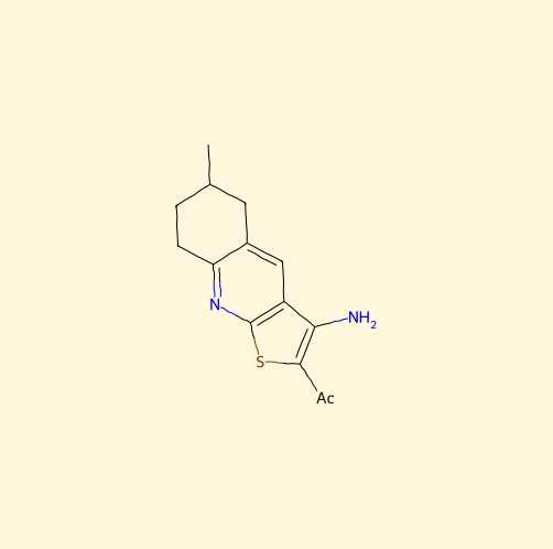 CC(=O)c1sc2nc3c(cc2c1N)CC(C)CC3